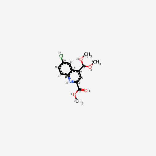 COC(=O)c1cc(C(OC)OC)c2cc(Cl)ccc2n1